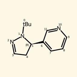 CC(C)(C)N1N=CC[C@@H]1c1cccnc1